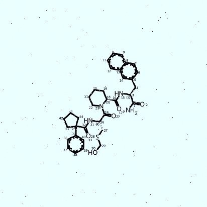 NC(=O)[C@H](Cc1ccc2ccccc2c1)NC(=O)[C@@H]1CCCCN1C(=O)[C@H](CSCO)NC(=O)C1(c2ccccc2)CCCC1